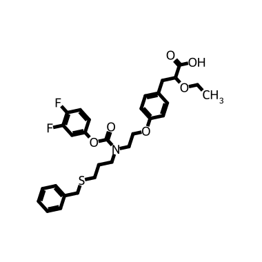 CCOC(Cc1ccc(OCCN(CCCSCc2ccccc2)C(=O)Oc2ccc(F)c(F)c2)cc1)C(=O)O